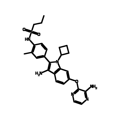 CCCS(=O)(=O)Nc1ccc(-c2c(N)c3ccc(Oc4nccnc4N)cc3n2C2CCC2)cc1C